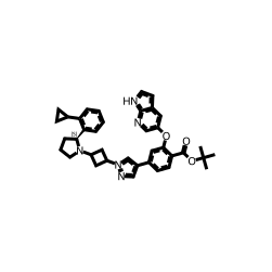 CC(C)(C)OC(=O)c1ccc(-c2cnn(C3CC(N4CCC[C@H]4c4ccccc4C4CC4)C3)c2)cc1Oc1cnc2[nH]ccc2c1